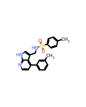 Cc1ccc(S(=O)(=O)NCc2c[nH]c3nccc(-c4cccc(C)c4)c23)cc1